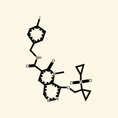 Cn1c(=O)c(C(=O)NCc2ccc(I)cc2)cc2cnnc(OCC3(S(=O)(=O)C4CC4)CC3)c21